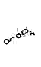 C=CC(=O)NC1CC(C)(C)N(S(=O)(=O)c2ccc(NC(=O)c3cc4c(s3)CCCC4)cc2)C1(C)C